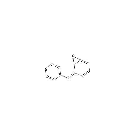 C1=CC(=Cc2ccccc2)C2SC2=C1